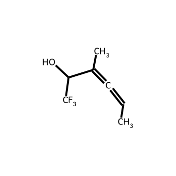 CC=C=C(C)C(O)C(F)(F)F